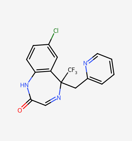 O=C1C=NC(Cc2ccccn2)(C(F)(F)F)c2cc(Cl)ccc2N1